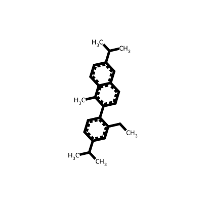 CCc1cc(C(C)C)ccc1-c1ccc2cc(C(C)C)ccc2c1C